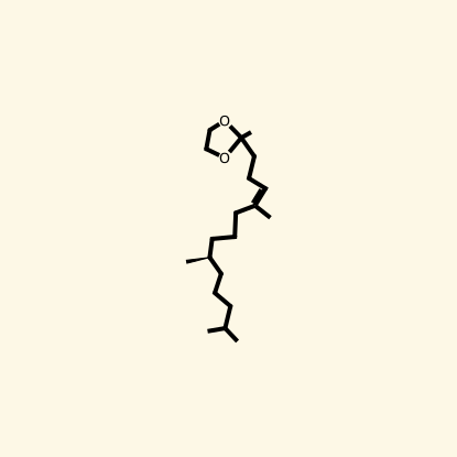 CC(=CCCC1(C)OCCO1)CCC[C@H](C)CCCC(C)C